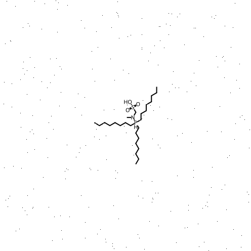 CCCCCCCC[PH](CCCCCCCC)(CCCCCCCC)N(C)CS(=O)(=O)O